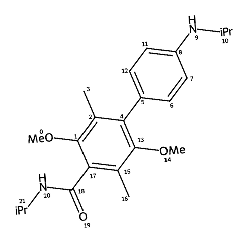 COc1c(C)c(-c2ccc(NC(C)C)cc2)c(OC)c(C)c1C(=O)NC(C)C